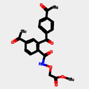 CC(C)(C)OC(=O)CONC(=O)c1ccc(C(=O)C(C)(C)C)cc1C(=O)c1ccc(C(=O)C(C)(C)C)cc1